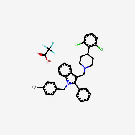 FC(F)(F)c1ccc(Cn2c(-c3ccccc3)c(CN3CCC(c4c(Cl)cccc4Cl)CC3)c3ccccc32)cc1.O=C(O)C(F)(F)F